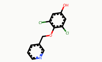 Oc1cc(Cl)c(OCc2cccnc2)c(Cl)c1